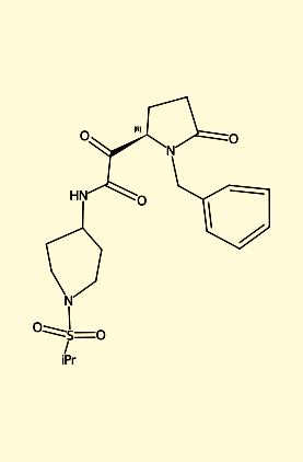 CC(C)S(=O)(=O)N1CCC(NC(=O)C(=O)[C@H]2CCC(=O)N2Cc2ccccc2)CC1